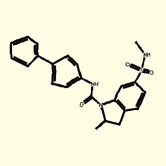 CNS(=O)(=O)c1ccc2c(c1)N(C(=O)Nc1ccc(-c3ccccc3)cc1)C(C)C2